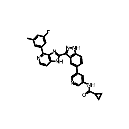 Cc1cc(F)cc(-c2nccc3[nH]c(-c4n[nH]c5ccc(-c6cncc(NC(=O)C7CC7)c6)cc45)nc23)c1